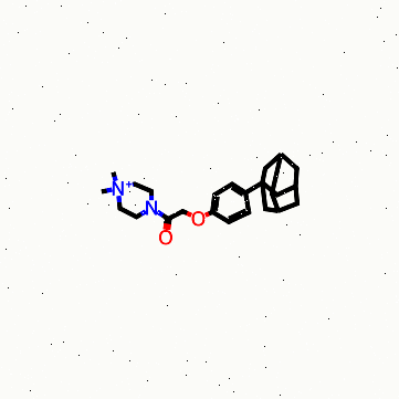 C[N+]1(C)CCN(C(=O)COc2ccc(C34CC5CC(CC(C5)C3)C4)cc2)CC1